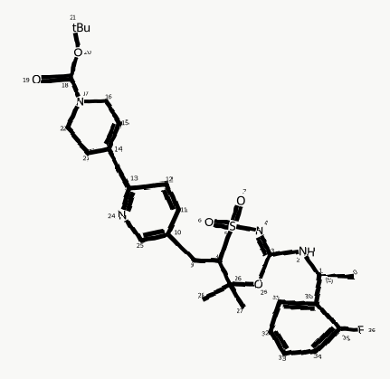 C[C@H](NC1=NS(=O)(=O)C(Cc2ccc(C3=CCN(C(=O)OC(C)(C)C)CC3)nc2)C(C)(C)O1)c1ccccc1F